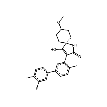 CO[C@H]1CC[C@]2(CC1)NC(=O)C(c1cc(-c3ccc(F)c(F)c3)ccc1C)=C2O